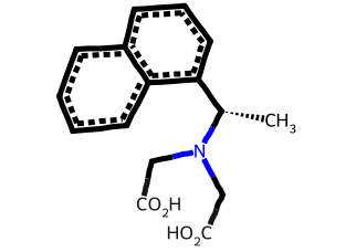 C[C@@H](c1cccc2ccccc12)N(CC(=O)O)CC(=O)O